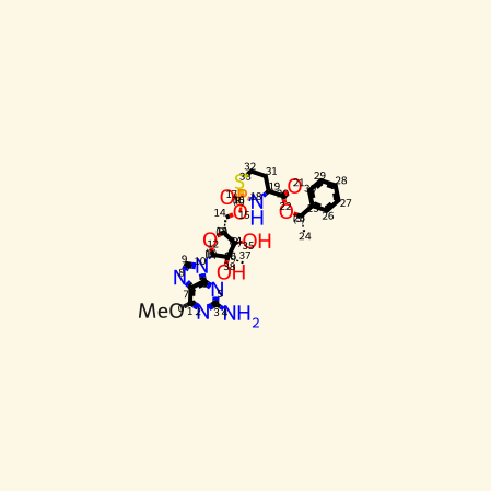 COc1nc(N)nc2c1ncn2[C@@H]1O[C@H](CO[P@]2(=O)NC(C(=O)O[C@@H](C)c3ccccc3)CCS2)[C@@H](O)[C@@]1(C)O